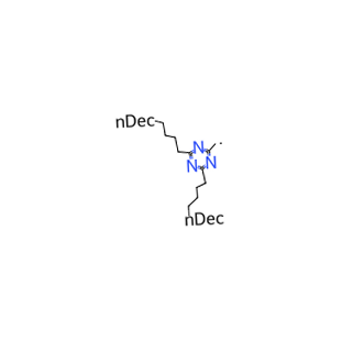 [CH2]c1nc(CCCCCCCCCCCCCC)nc(CCCCCCCCCCCCCC)n1